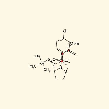 COC(=S)OC1CC2CCC([C@H]1O[Si](C)(C)C(C)(C)C)N2S(=O)(=O)c1ccc(Cl)cc1